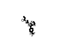 C=CC(=O)N1CC(n2nc(-c3ccc(C(F)(F)F)cc3)c3nccnc32)C1